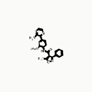 COc1nc(-c2nccnc2N)ccc1NC(=O)c1c(-c2ccccc2)noc1C